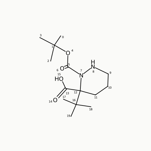 CC(C)(C)OC(=O)N1NCCCC1(C(=O)O)C(C)(C)C